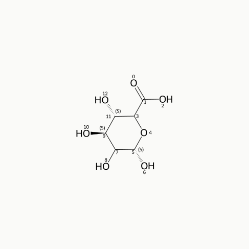 O=C(O)C1O[C@H](O)C(O)[C@@H](O)[C@@H]1O